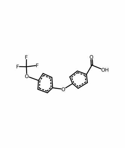 O=C(O)c1ccc(Oc2ccc(OC(F)(F)F)cc2)cc1